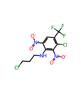 O=[N+]([O-])c1cc(C(F)(F)F)c(Cl)c([N+](=O)[O-])c1NCCCCl